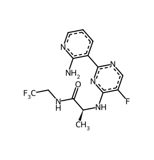 C[C@H](Nc1nc(-c2cccnc2N)ncc1F)C(=O)NCC(F)(F)F